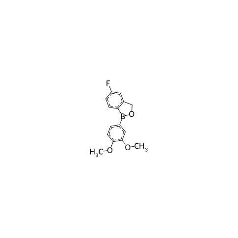 COc1ccc(B2OCc3cc(F)ccc32)cc1OC